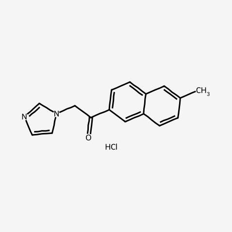 Cc1ccc2cc(C(=O)Cn3ccnc3)ccc2c1.Cl